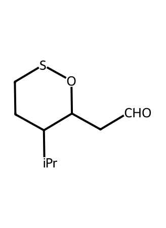 CC(C)C1CCSOC1CC=O